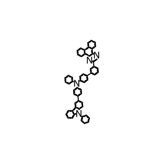 c1ccc(N(c2ccc(-c3cccc(-c4cnc5c6ccccc6c6ccccc6c5n4)c3)cc2)c2ccc(-c3ccc4c(c3)c3ccccc3n4-c3ccccc3)cc2)cc1